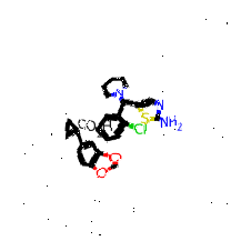 Nc1ncc(C(c2ccccc2Cl)N2CCCCC2)s1.O=C(O)C1(c2ccc3c(c2)OCO3)CC1